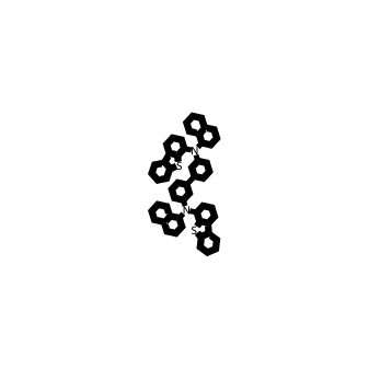 c1cc(-c2cccc(N(c3cccc4ccccc34)c3cccc4c3sc3ccccc34)c2)cc(N(c2cccc3ccccc23)c2cccc3c2sc2ccccc23)c1